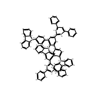 c1ccc(-c2cc(-c3ccccc3)nc(-c3cc(-c4ccc(-n5c6ccccc6c6ccccc65)cc4)c(-n4c5ccccc5c5cc(-c6nc(-c7ccccc7)nc(-c7ccccc7)n6)ccc54)c(-c4ccc(-n5c6ccccc6c6ccccc65)cc4)c3)n2)cc1